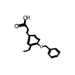 [CH2]Cc1cc(/C=C/C(=O)O)ccc1OCc1ccccc1